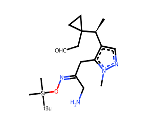 C[C@@H](c1cnn(C)c1C/C(CN)=N/O[Si](C)(C)C(C)(C)C)C1(CC=O)CC1